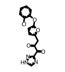 O=C(Cc1ccc(Oc2ccccc2Cl)o1)C(=O)c1nc[nH]n1